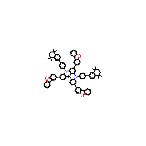 CC1(C)CCC(C)(C)c2cc(-c3ccc(N4c5cc(-c6ccc7oc8ccccc8c7c6)ccc5B5c6ccc(-c7ccc8oc9ccccc9c8c7)cc6N(c6ccc(-c7ccc8c(c7)C(C)(C)CCC8(C)C)cc6)c6cc(-c7ccc8oc9ccccc9c8c7)cc4c65)cc3)ccc21